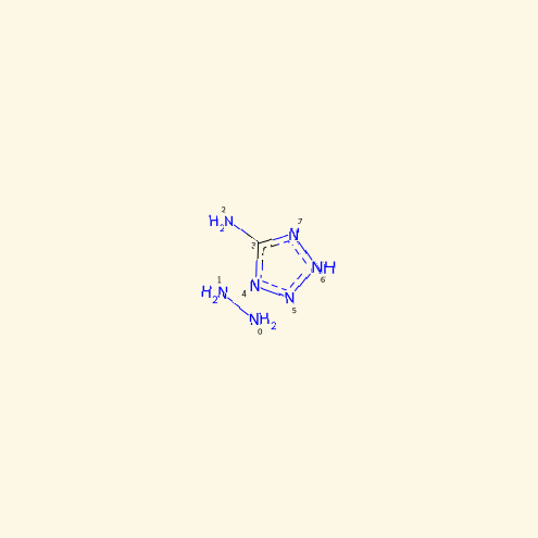 NN.Nc1nn[nH]n1